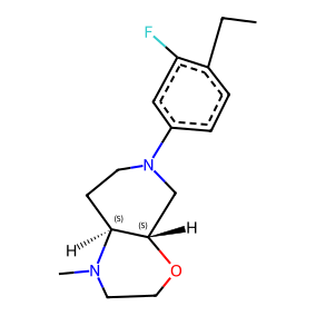 CCc1ccc(N2CC[C@H]3[C@H](C2)OCCN3C)cc1F